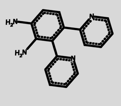 Nc1ccc(-c2ccccn2)c(-c2ccccn2)c1N